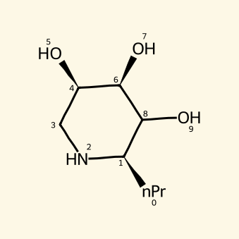 CCC[C@H]1NC[C@@H](O)[C@@H](O)C1O